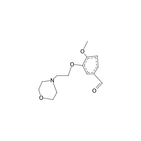 COc1ccc(C=O)cc1OCCN1CCOCC1